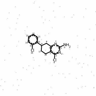 Nc1nc(Cl)c2c(n1)CC(c1ccccc1Cl)CC2